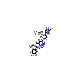 CCCC(Nc1nnc(-c2ccc(-n3cnc(C)c3)c(OC)n2)cc1C)c1ccccc1F